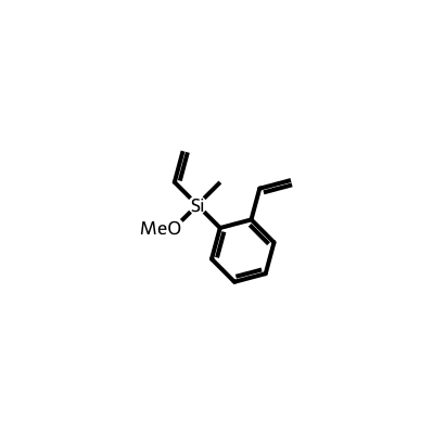 C=Cc1ccccc1[Si](C)(C=C)OC